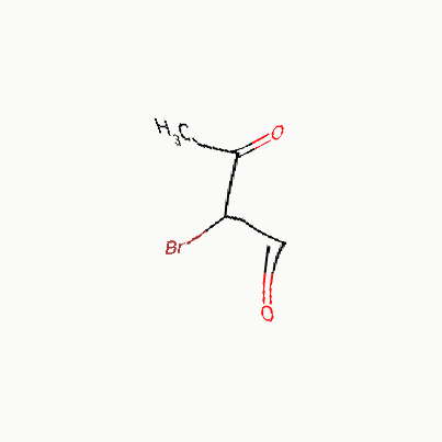 CC(=O)C(Br)C=O